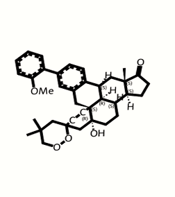 COc1ccccc1-c1ccc2c(c1)C[C@]13CCC4(CC(C)(C)COO4)C[C@]1(O)CC[C@@H]1[C@@H]3[C@@H]2C[C@]2(C)C(=O)CC[C@@H]12